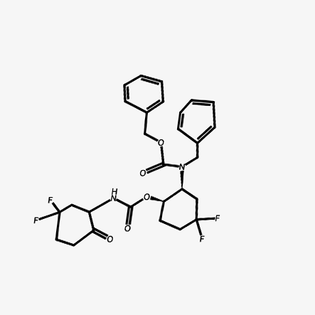 O=C(NC1CC(F)(F)CCC1=O)O[C@@H]1CCC(F)(F)C[C@@H]1N(Cc1ccccc1)C(=O)OCc1ccccc1